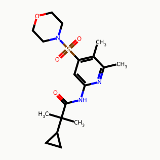 Cc1nc(NC(=O)C(C)(C)C2CC2)cc(S(=O)(=O)N2CCOCC2)c1C